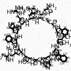 CC[C@H](C)[C@@H]1NC(=O)[C@H](Cc2ccccc2)NC(=O)CSC[C@@H](C(=O)NCC(N)=O)NC(=O)[C@H](Cc2cncn2C)NC(=O)[C@H](CCCNC(=N)N)NC(=O)[C@H](Cc2cnc[nH]2)NC(=O)[C@H](Cc2ccccc2)N(C)C(=O)[C@H](CCCNC(=N)N)NC(=O)[C@H](CO)NC(=O)CNC(=O)[C@H](Cc2cnc[nH]2)NC(=O)[C@H](Cc2c[nH]c3ccccc23)NC1=O